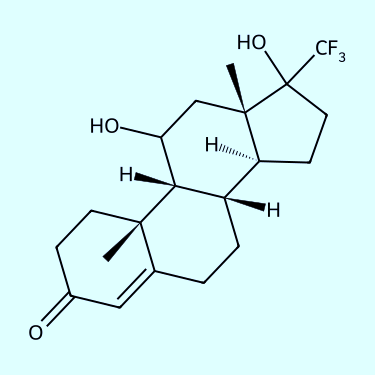 C[C@]12CCC(=O)C=C1CC[C@@H]1[C@H]2C(O)C[C@@]2(C)[C@H]1CCC2(O)C(F)(F)F